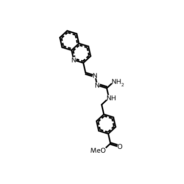 COC(=O)c1ccc(CN/C(N)=N/N=C/c2ccc3ccccc3n2)cc1